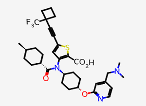 CN(C)Cc1ccnc(O[C@H]2CC[C@H](N(c3cc(C#CC4(C(F)(F)F)CCC4)sc3C(=O)O)C(=O)[C@H]3CC[C@H](C)CC3)CC2)c1